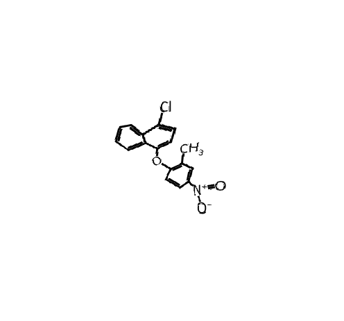 Cc1cc([N+](=O)[O-])ccc1Oc1ccc(Cl)c2ccccc12